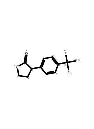 O=C1OCCC1c1ccc(C(F)(F)F)cc1